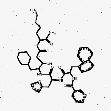 NCCCCC(NC(=O)CC(O)C(CC1CCCCC1)NC(=O)C(Cc1cscn1)NC(=O)C(Cc1cccc2ccccc12)NC(=O)c1cccnc1)C(N)=O